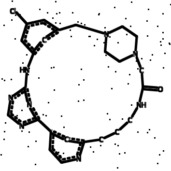 O=C1CN2CCN(CC2)Cc2cc(Cl)cc(c2)Nc2ncnc(n2)-c2ccnc(c2)CCCN1